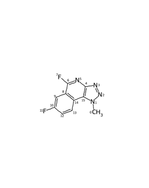 Cn1nnc2nc(F)c3cc(F)ccc3c21